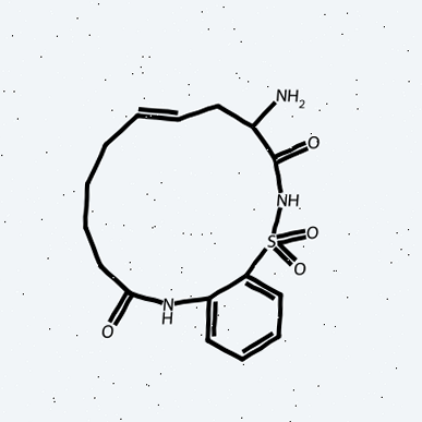 NC1C/C=C/CCCCC(=O)Nc2ccccc2S(=O)(=O)NC1=O